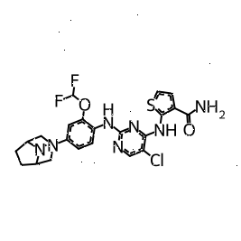 CN1C2CCC1CN(c1ccc(Nc3ncc(Cl)c(Nc4sccc4C(N)=O)n3)c(OC(F)F)c1)C2